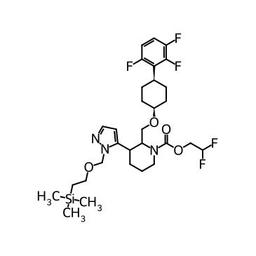 C[Si](C)(C)CCOCn1nccc1C1CCCN(C(=O)OCC(F)F)C1CO[C@H]1CC[C@@H](c2c(F)ccc(F)c2F)CC1